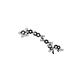 C=CCn1c(=O)c2cnc(Nc3ccc(NCCNC4CCC5(CC4)CCN(c4ccc6c(c4)C(=O)N(C4CCC(=O)NC4=O)C6=O)CC5)cc3)nc2n1-c1ccc2c(n1)[C@@](O)(CC)CC2